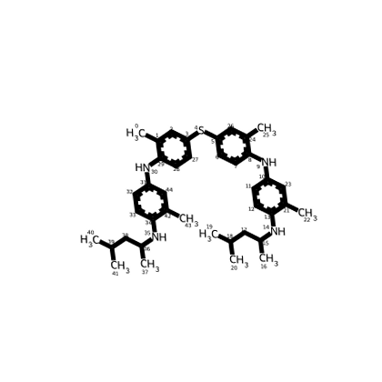 Cc1cc(Sc2ccc(Nc3ccc(NC(C)CC(C)C)c(C)c3)c(C)c2)ccc1Nc1ccc(NC(C)CC(C)C)c(C)c1